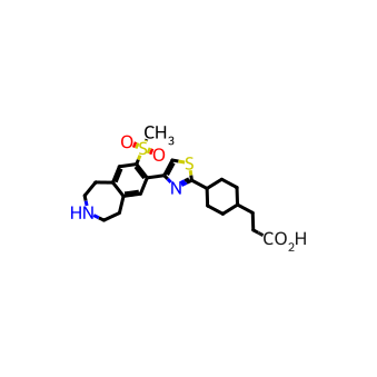 CS(=O)(=O)c1cc2c(cc1-c1csc(C3CCC(CCC(=O)O)CC3)n1)CCNCC2